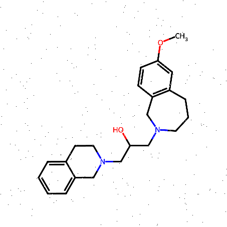 COc1ccc2c(c1)CCCN(CC(O)CN1CCc3ccccc3C1)C2